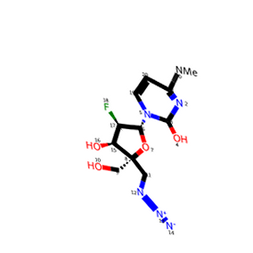 CNC1=NC(O)N([C@@H]2O[C@@](CO)(CN=[N+]=[N-])[C@@H](O)[C@H]2F)C=C1